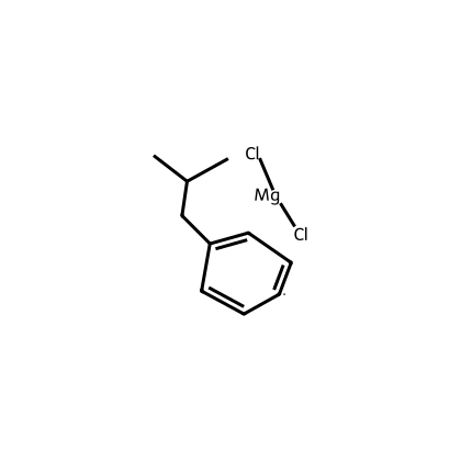 CC(C)Cc1cc[c]cc1.[Cl][Mg][Cl]